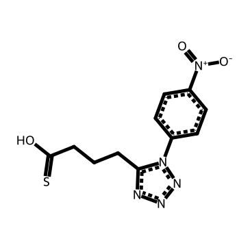 O=[N+]([O-])c1ccc(-n2nnnc2CCCC(O)=S)cc1